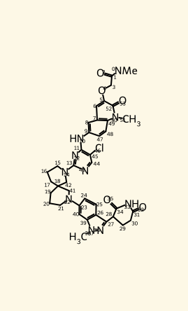 CNC(=O)COc1cc2cc(Nc3nc(N4CCCC5(CCCN(c6ccc7c(C8CCC(=O)NC8=O)nn(C)c7c6)C5)C4)ncc3Cl)ccc2n(C)c1=O